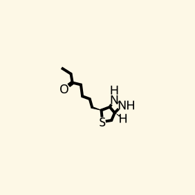 CCC(=O)CCCC[C@@H]1SC[C@@H]2NNC21